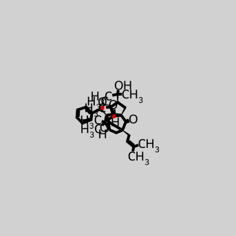 CC(C)=CC[C@]12C[C@@H]3C[C@@H]4C(C)(C)[C@@H](C(C)(C)O)C[C@@]4(C1=O)C(=O)[C@](C(=O)c1ccccc1)(C2=O)C3(C)C